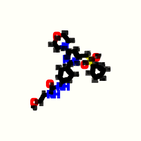 COCCNC(=O)Nc1ccc(-c2nc(CS(=O)(=O)c3ccccc3)cc(N3CCOCC3)n2)cc1